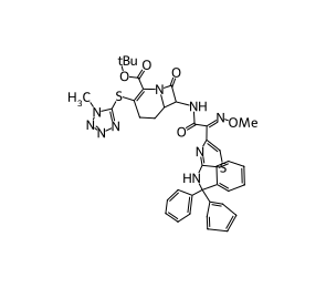 CON=C(C(=O)NC1C(=O)N2C(C(=O)OC(C)(C)C)=C(Sc3nnnn3C)CCC12)c1csc(NC(c2ccccc2)(c2ccccc2)c2ccccc2)n1